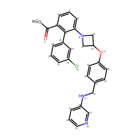 COC(=O)c1cccc(N2CC(Oc3ccc(CNc4cccnc4)cc3)C2)c1-c1cccc(Cl)c1